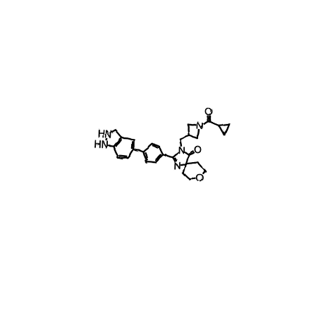 O=C(C1CC1)N1CC(CN2C(=O)C3(CCOCC3)N=C2c2ccc(-c3ccc4c(c3)CNN4)cc2)C1